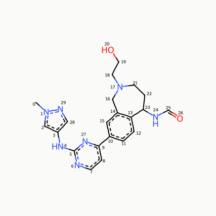 Cn1cc(Nc2nccc(-c3ccc4c(c3)CN(CCO)CCC4NC=O)n2)cn1